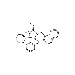 C/C=C1\NC(C2=CCCC=C2)(c2ccccc2)C(=O)N1Cc1cccc2ccccc12